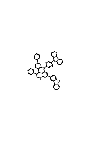 c1ccc(-c2ccc3c(c2)B(c2cnc(-n4c5ccccc5c5ccccc54)cn2)c2cc(-c4ccc5oc6ccccc6c5c4)cc4ncc(-c5ccccc5)c-3c24)cc1